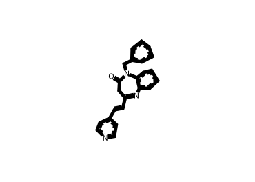 O=C1CC(C=Cc2ccncc2)=Nc2ccccc2N1Cc1ccccc1